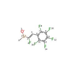 C[S+]([O-])C(F)=Cc1c(F)c(F)c(F)c(F)c1F